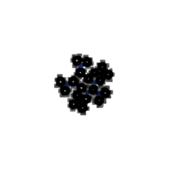 c1ccc([Si](c2ccccc2)(c2ccccc2)c2cccc(N3c4ccc(-c5cccc(-n6c7ccccc7c7ccccc76)c5)cc4B4c5cc(-c6cccc(-n7c8ccccc8c8ccccc87)c6)ccc5N(c5cccc([Si](c6ccccc6)(c6ccccc6)c6ccccc6)c5)c5cc(-n6c7ccccc7c7ccccc76)cc3c54)c2)cc1